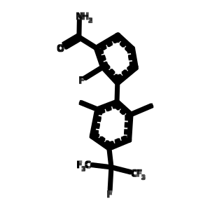 Cc1cc(C(F)(C(F)(F)F)C(F)(F)F)cc(C)c1-c1cccc(C(N)=O)c1F